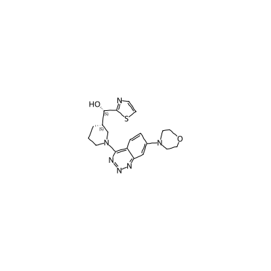 O[C@H](c1nccs1)[C@H]1CCCN(c2nnnc3cc(N4CCOCC4)ccc23)C1